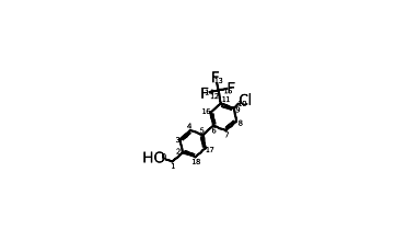 OCc1ccc(-c2ccc(Cl)c(C(F)(F)F)c2)cc1